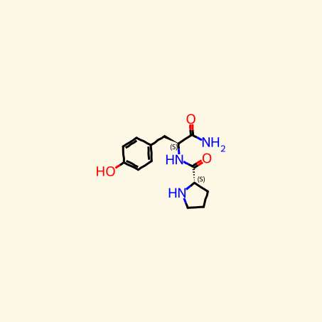 NC(=O)[C@H](Cc1ccc(O)cc1)NC(=O)[C@@H]1CCCN1